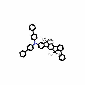 CC1(C)c2cc(N(c3ccc(-c4ccccc4)cc3)c3ccc(-c4ccccc4)cc3)ccc2-c2cc3c(cc21)-c1cccc(-c2ccccc2)c1C3(C)C